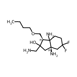 CCCCOC[C@@H]1C(O)(CN)C[C@@]2(N)CC(F)(F)CCC12N